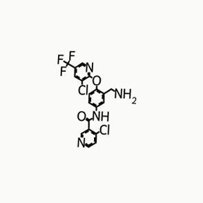 NCc1cc(NC(=O)c2cnccc2Cl)ccc1Oc1ncc(C(F)(F)F)cc1Cl